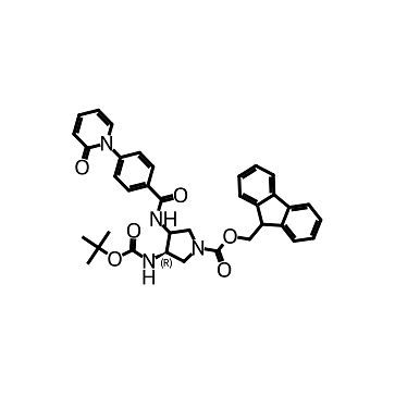 CC(C)(C)OC(=O)N[C@@H]1CN(C(=O)OCC2c3ccccc3-c3ccccc32)CC1NC(=O)c1ccc(-n2ccccc2=O)cc1